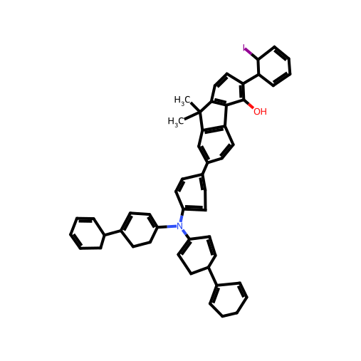 CC1(C)c2cc(-c3ccc(N(C4=CCC(C5=CCCC=C5)C=C4)C4=CC=C(C5C=CC=CC5)CC4)cc3)ccc2-c2c1ccc(C1C=CC=CC1I)c2O